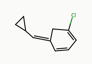 ClC1=CC=CC(=CC2CC2)C1